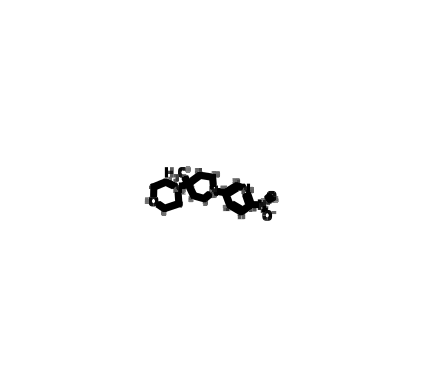 CC1(N2CCOCC2)CCN(c2ccc([N+](=O)[O-])nc2)CC1